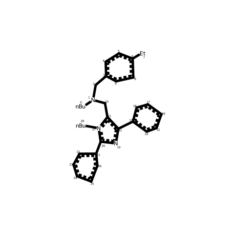 CCCCN(Cc1ccc(CC)cc1)Cc1c(-c2ccccc2)nc(-c2ccccc2)n1CCCC